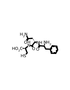 NC(=O)C[C@H](NC(=O)[C@@H](N)Cc1ccccc1)C(=O)N[C@@H](CS)C(=O)O